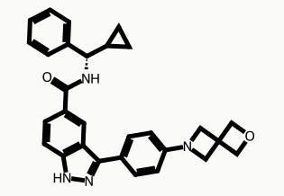 O=C(N[C@H](c1ccccc1)C1CC1)c1ccc2[nH]nc(-c3ccc(N4CC5(COC5)C4)cc3)c2c1